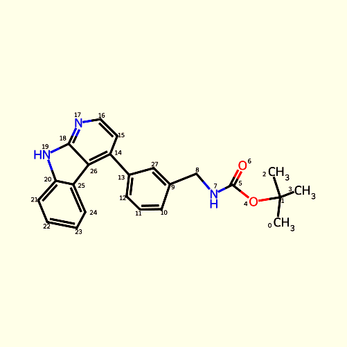 CC(C)(C)OC(=O)NCc1cccc(-c2ccnc3[nH]c4ccccc4c23)c1